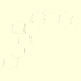 [O-][S+](c1ccccc1)c1cnc2c(N3CCN(Cc4ccc(F)cc4)CC3)cccc2c1